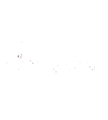 CC(C)CN(CCCNC(=O)OC1C2COC3OCC1C3C2)Sc1ccc(C2(N)CC2)cc1